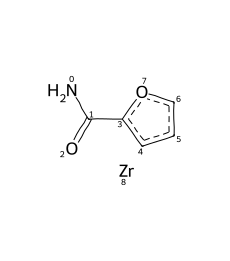 NC(=O)c1ccco1.[Zr]